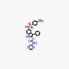 CC(C)(C)c1ccc(S(=O)(=O)Nc2ccc3[nH]c(OC(=O)Nc4cnccn4)c(-c4ccccc4)c3c2)cc1